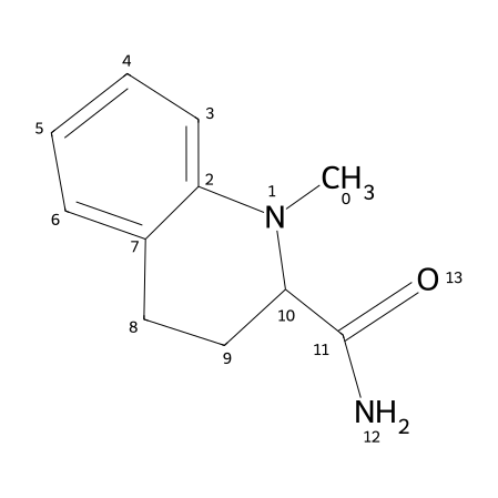 CN1c2ccccc2CCC1C(N)=O